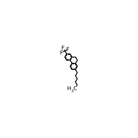 CCCCCCc1ccc2c(c1)CCc1cc(C(F)(F)F)ccc1-2